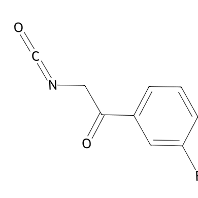 O=C=NCC(=O)c1cccc(F)c1